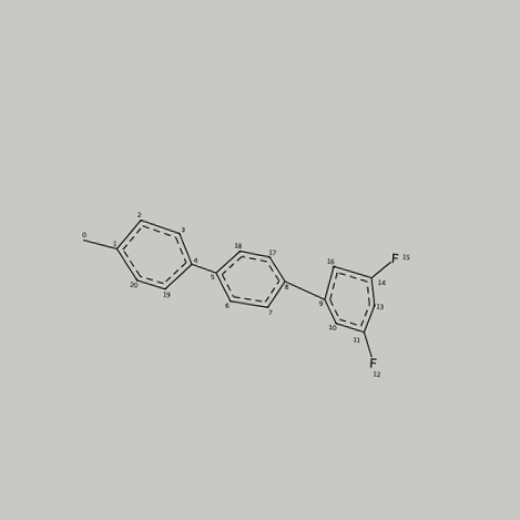 Cc1ccc(-c2ccc(-c3cc(F)cc(F)c3)cc2)cc1